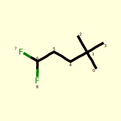 CC(C)(C)CCC(F)F